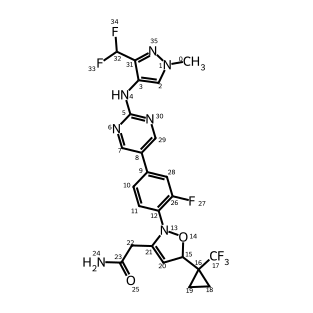 Cn1cc(Nc2ncc(-c3ccc(N4OC(C5(C(F)(F)F)CC5)C=C4CC(N)=O)c(F)c3)cn2)c(C(F)F)n1